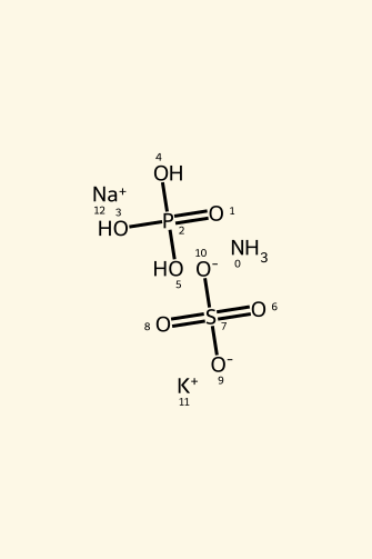 N.O=P(O)(O)O.O=S(=O)([O-])[O-].[K+].[Na+]